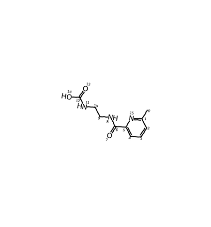 Cc1cccc(C(=O)NCCNC(=O)O)n1